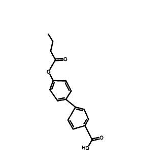 CCCC(=O)Oc1ccc(-c2ccc(C(=O)O)cc2)cc1